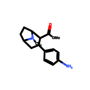 COC(=O)C1C(c2ccc(N)cc2)CC2CCC1N2C